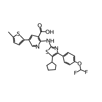 Cc1ccc(-c2cnc(Nc3nc(-c4ccc(OC(F)F)cc4)c(C4CCCC4)s3)c(C(=O)O)c2)s1